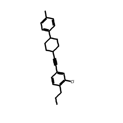 CCCc1ccc(C#CC2CCC(c3ccc(C)cc3)CC2)cc1Cl